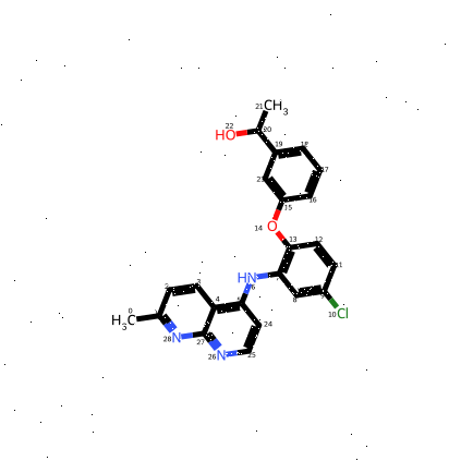 Cc1ccc2c(Nc3cc(Cl)ccc3Oc3cccc(C(C)O)c3)ccnc2n1